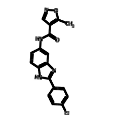 Cc1oncc1C(=O)Nc1ccc2[nH]c(-c3ccc(Cl)cc3)nc2c1